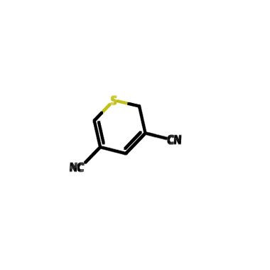 N#CC1=CSCC(C#N)=C1